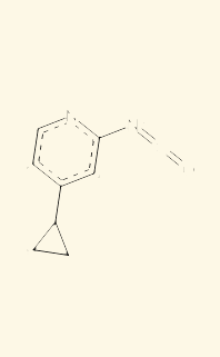 O=C=Nc1cc(C2CC2)ccn1